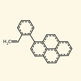 C=Cc1ccccc1-c1ccc2ccc3cccc4ccc1c2c34